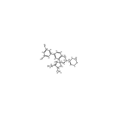 CN1O[C@]2(C[C@H]([C@@H]3CCCOC3)Oc3ccc(-c4cc(F)cc(F)c4)cc32)N=C1N